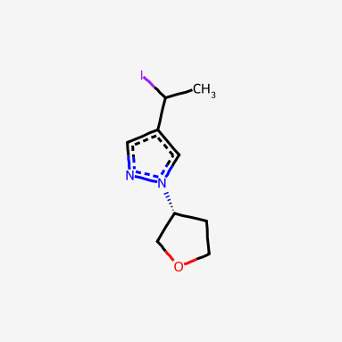 CC(I)c1cnn([C@@H]2CCOC2)c1